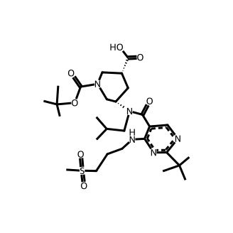 CC(C)CN(C(=O)c1cnc(C(C)(C)C)nc1NCCCS(C)(=O)=O)[C@H]1C[C@@H](C(=O)O)CN(C(=O)OC(C)(C)C)C1